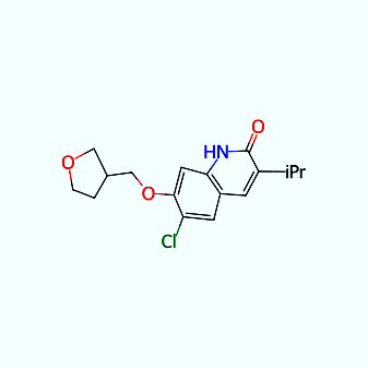 CC(C)c1cc2cc(Cl)c(OCC3CCOC3)cc2[nH]c1=O